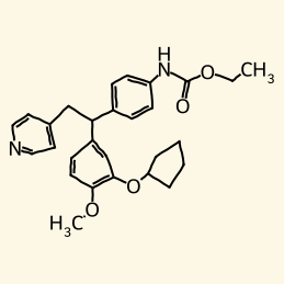 CCOC(=O)Nc1ccc(C(Cc2ccncc2)c2ccc(OC)c(OC3CCCC3)c2)cc1